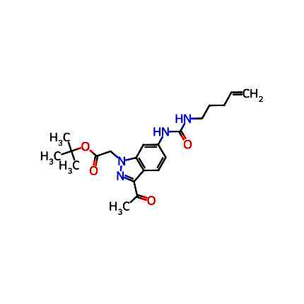 C=CCCCNC(=O)Nc1ccc2c(C(C)=O)nn(CC(=O)OC(C)(C)C)c2c1